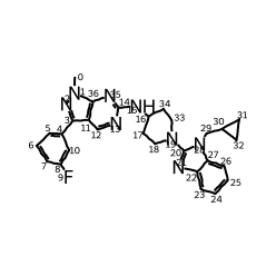 Cn1nc(-c2cccc(F)c2)c2cnc(NC3CCN(c4nc5ccccc5n4CC4CC4)CC3)nc21